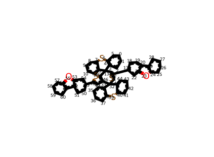 c1ccc2c(c1)Sc1ccccc1C21c2cc(-c3ccc4c(c3)oc3ccccc34)sc2C2(c3ccccc3Sc3ccccc32)c2cc(-c3ccc4c(c3)oc3ccccc34)sc21